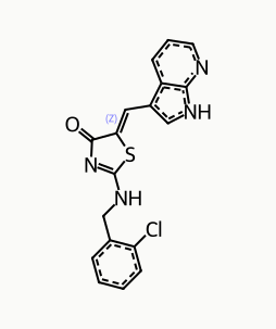 O=C1N=C(NCc2ccccc2Cl)S/C1=C\c1c[nH]c2ncccc12